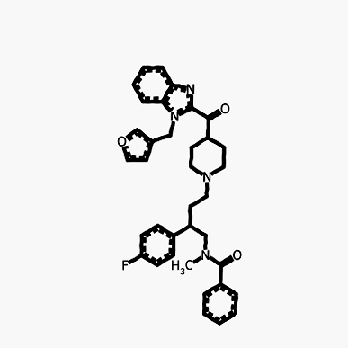 CN(CC(CCN1CCC(C(=O)c2nc3ccccc3n2Cc2ccoc2)CC1)c1ccc(F)cc1)C(=O)c1ccccc1